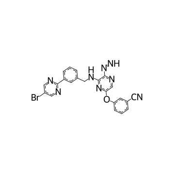 N#Cc1cccc(Oc2cnc(N=N)c(NCc3cccc(-c4ncc(Br)cn4)c3)n2)c1